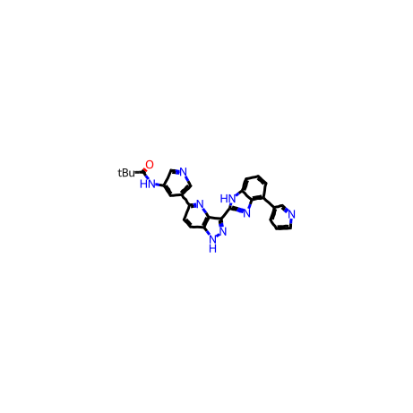 CC(C)(C)C(=O)Nc1cncc(-c2ccc3[nH]nc(-c4nc5c(-c6cccnc6)cccc5[nH]4)c3n2)c1